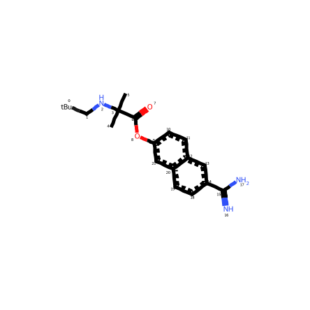 CC(C)(C)CNC(C)(C)C(=O)Oc1ccc2cc(C(=N)N)ccc2c1